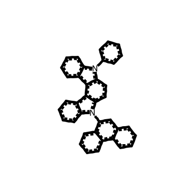 c1ccc(-n2c3ccccc3c3c4c5ccccc5n(-c5cc6ccccc6c6ccccc56)c4ccc32)cc1